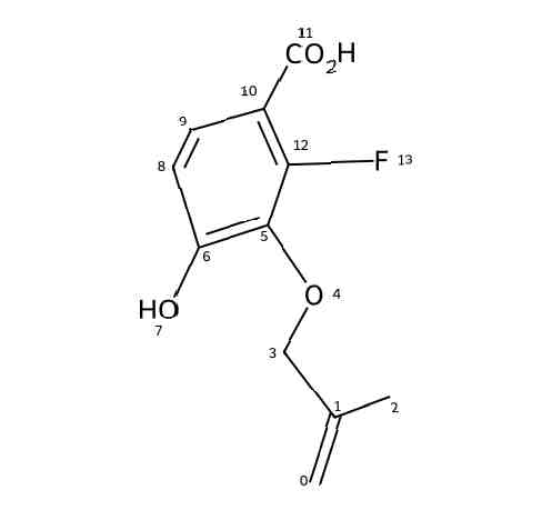 C=C(C)COc1c(O)ccc(C(=O)O)c1F